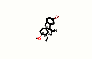 [2H]C([2H])=C1c2cc(Br)ccc2C[C@]12CC[C@@H](OC)[C@H](CC)C2